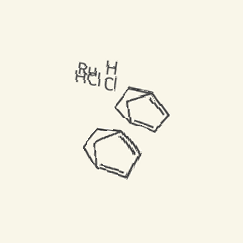 C1=C2CCC(=C1)C2.C1=C2CCC(=C1)C2.Cl.Cl.[Ru]